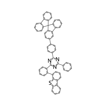 c1ccc(-c2nc(-c3ccc(-c4ccc5c(c4)-c4ccccc4C54c5ccccc5-c5ccccc54)cc3)nc(-c3ccccc3-c3cccc4c3sc3ccccc34)n2)cc1